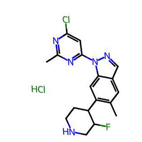 Cc1nc(Cl)cc(-n2ncc3cc(C)c(C4CCNCC4F)cc32)n1.Cl